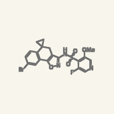 COc1cncc(F)c1S(=O)(=O)Nc1noc2c1CC1(CC1)c1ccc(Br)cc1-2